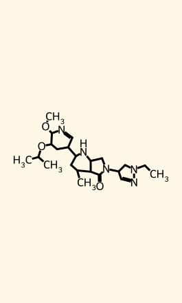 CCN1CC(N2CC3NC(C4C=NC(OC)C(OC(C)C)C4)CC(C)C3C2=O)C=N1